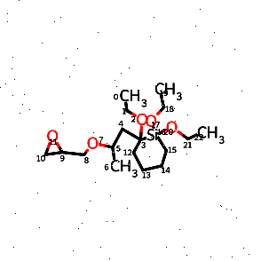 CCOC1(CC(C)OCC2CO2)CCCC[Si]1(OCC)OCC